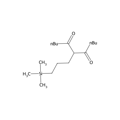 CCCCC(=O)C(CCC[Si](C)(C)C)C(=O)CCCC